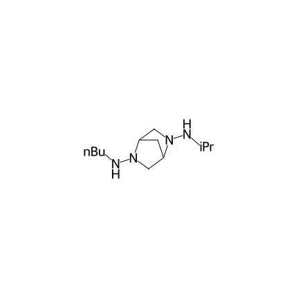 CCCCNN1CC2CC1CN2NC(C)C